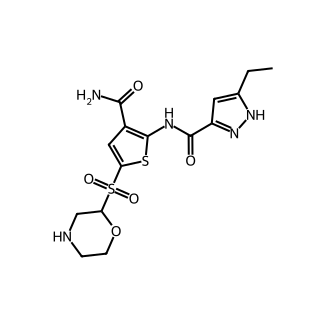 CCc1cc(C(=O)Nc2sc(S(=O)(=O)C3CNCCO3)cc2C(N)=O)n[nH]1